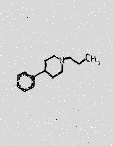 CCCN1CCC(c2cc[c]cc2)CC1